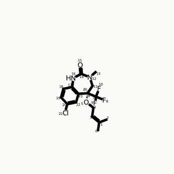 CC(C)=CCO[C@@]1(C(F)(F)F)CN(C)C(=O)Nc2ccc(Cl)cc21